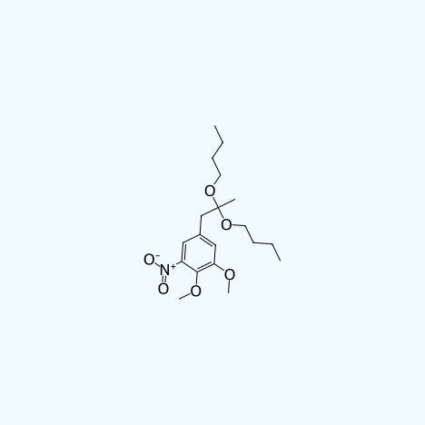 CCCCOC(C)(Cc1cc(OC)c(OC)c([N+](=O)[O-])c1)OCCCC